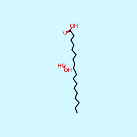 CCCCCCCCCCCCCCCCCC(=O)O.OO